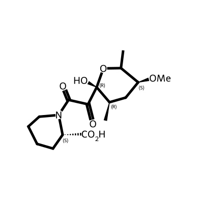 CO[C@H]1C[C@@H](C)[C@](O)(C(=O)C(=O)N2CCCC[C@H]2C(=O)O)OC1C